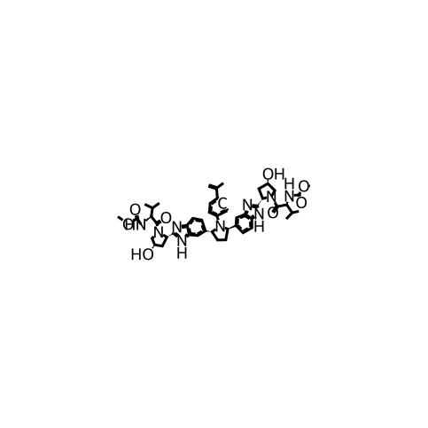 C=C(C)c1ccc(N2[C@@H](c3ccc4[nH]c([C@@H]5C[C@H](O)CN5C(=O)[C@@H](NC(=O)OC)C(C)C)nc4c3)CC[C@@H]2c2ccc3nc([C@@H]4C[C@H](O)CN4C(=O)[C@@H](NC(=O)OC)C(C)C)[nH]c3c2)cc1